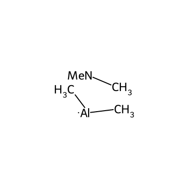 CNC.[CH3][Al][CH3]